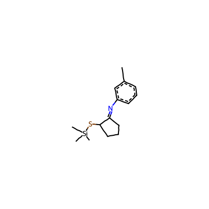 Cc1cccc(/N=C2\CCCC2S[Si](C)(C)C)c1